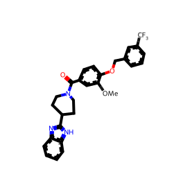 COc1cc(C(=O)N2CCC(c3nc4ccccc4[nH]3)CC2)ccc1OCc1cccc(C(F)(F)F)c1